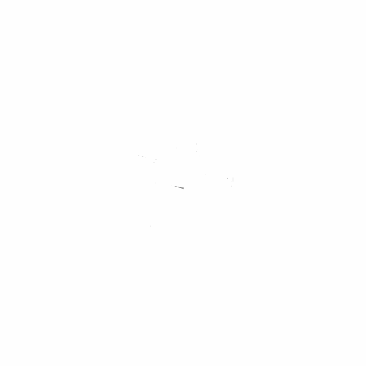 C=C[C@H](OC(N)=O)C(C)=O